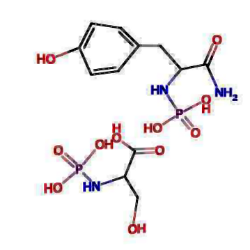 NC(=O)C(Cc1ccc(O)cc1)NP(=O)(O)O.O=C(O)C(CO)NP(=O)(O)O